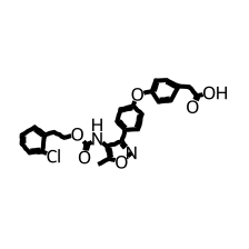 Cc1onc(-c2ccc(Oc3ccc(CC(=O)O)cc3)cc2)c1NC(=O)OCCc1ccccc1Cl